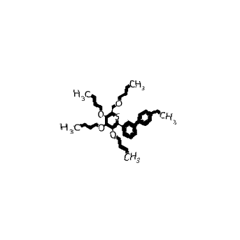 CCCCOC[C@H]1S[C@@H](c2cccc(-c3ccc(CC)cc3)c2)[C@H](OCCCC)[C@@H](OCCCC)[C@@H]1OCCCC